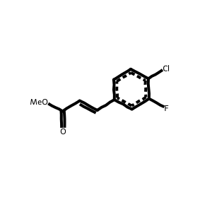 COC(=O)C=Cc1ccc(Cl)c(F)c1